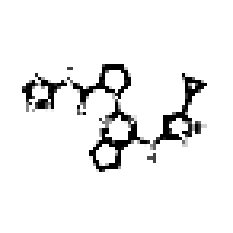 O=C(Nc1nncs1)C1CCCN1c1nc2c(c(Nc3cc(C4CC4)[nH]n3)n1)CCC2